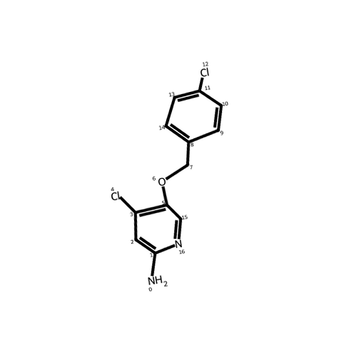 Nc1cc(Cl)c(OCc2ccc(Cl)cc2)cn1